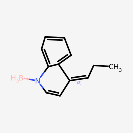 BN1C=C/C(=C/CC)c2ccccc21